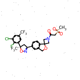 CS(=O)(=O)CC(=O)N1CC2(C1)OCc1cc(C3=NO[C@](c4cc(C(F)(F)F)cc(Cl)c4F)(C(F)(F)F)C3)ccc12